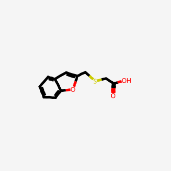 O=C(O)CSCc1cc2ccccc2o1